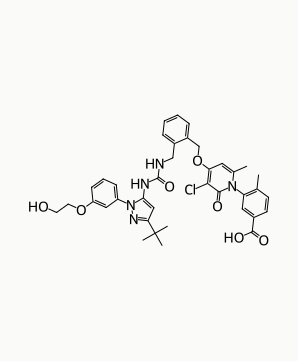 Cc1ccc(C(=O)O)cc1-n1c(C)cc(OCc2ccccc2CNC(=O)Nc2cc(C(C)(C)C)nn2-c2cccc(OCCO)c2)c(Cl)c1=O